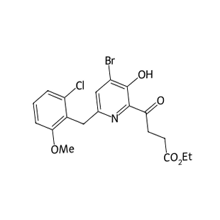 CCOC(=O)CCC(=O)c1nc(Cc2c(Cl)cccc2OC)cc(Br)c1O